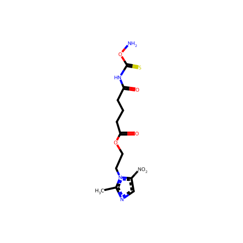 Cc1ncc([N+](=O)[O-])n1CCOC(=O)CCCC(=O)NC(=S)ON